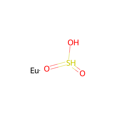 O=[SH](=O)O.[Eu]